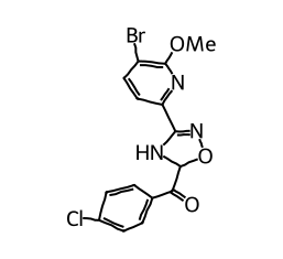 COc1nc(C2=NOC(C(=O)c3ccc(Cl)cc3)N2)ccc1Br